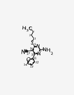 CCCCSc1nc(N)nc(-c2ccco2)c1C#N